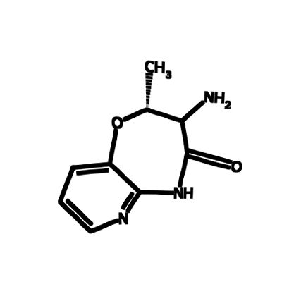 C[C@H]1Oc2cccnc2NC(=O)C1N